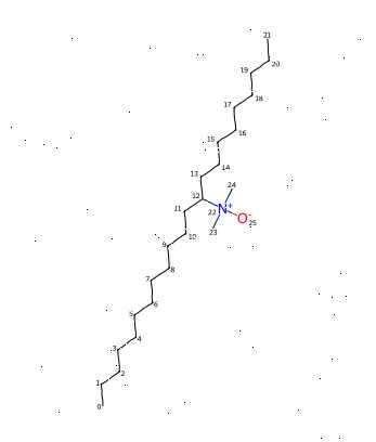 CCCCCCCCCCCCC(CCCCCCCCC)[N+](C)(C)[O-]